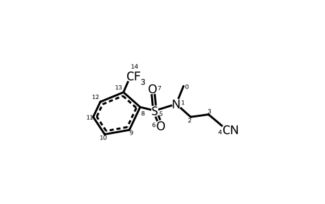 CN(CCC#N)S(=O)(=O)c1ccccc1C(F)(F)F